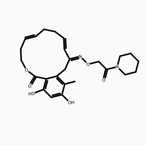 Cc1c(O)cc(O)c2c1CC(=N\OCC(=O)N1CCCCC1)/C=C/CC/C=C/CCOC2=O